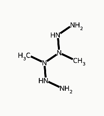 CN(NN)N(C)NN